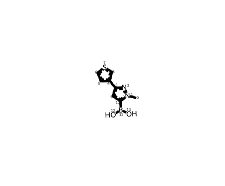 Cn1nc(-c2ccsc2)cc1B(O)O